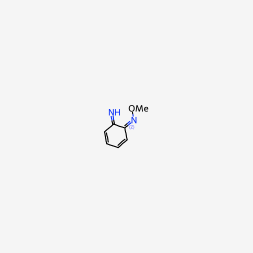 CO/N=C1/C=CC=CC1=N